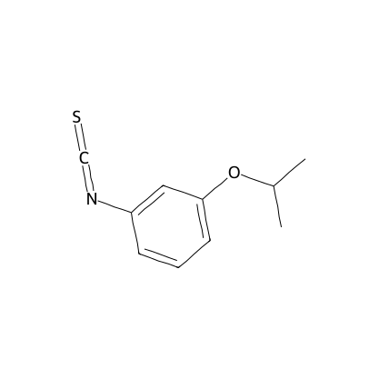 CC(C)Oc1cccc(N=C=S)c1